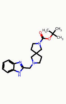 CC(C)(C)OC(=O)N1CCC2(CCN(Cc3nc4ccccc4[nH]3)C2)C1